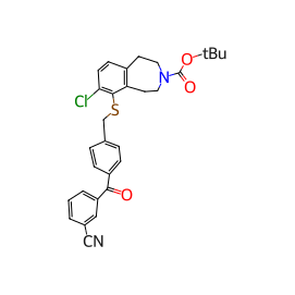 CC(C)(C)OC(=O)N1CCc2ccc(Cl)c(SCc3ccc(C(=O)c4cccc(C#N)c4)cc3)c2CC1